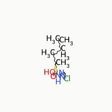 C/C(=C\CSCC(Nc1nccc(Cl)n1)C(=O)O)CCCC(C)CCCC(C)CCCC(C)C